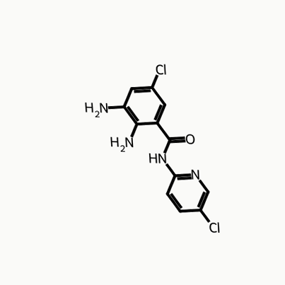 Nc1cc(Cl)cc(C(=O)Nc2ccc(Cl)cn2)c1N